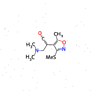 CSc1noc(C)c1C(=C=O)CN(C)C